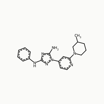 CC1CCCN(c2cc(-n3nc(Nc4ccccc4)nc3N)ccn2)C1